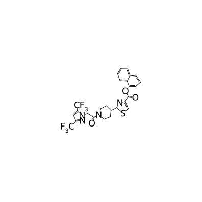 O=C(Oc1cccc2ccccc12)c1csc(C2CCN(C(=O)Cn3nc(C(F)(F)F)cc3C(F)(F)F)CC2)n1